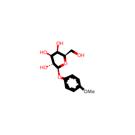 COc1ccc(O[C@@H]2O[C@H](CO)[C@H](O)[C@H](O)[C@H]2O)cc1